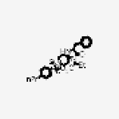 CCCc1ccc(S(=O)(=O)N2CCC3(CC2)NC(Cc2ccccc2)C(=O)N3C(CC)C(=O)O)cc1